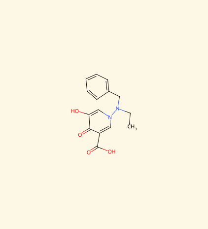 CCN(Cc1ccccc1)n1cc(O)c(=O)c(C(=O)O)c1